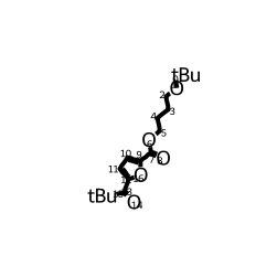 CC(C)(C)OCCCCOC(=O)c1ccc(C(=O)C(C)(C)C)o1